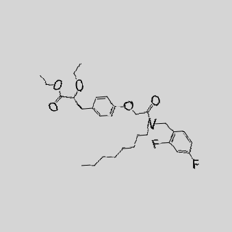 CCCCCCCCN(Cc1ccc(F)cc1F)C(=O)COc1ccc(C[C@H](OCC)C(=O)OCC)cc1